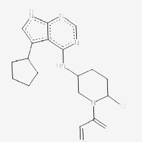 C=CC(=O)N1CC(Nc2ncnc3[nH]cc(C4CCCC4)c23)CCC1C